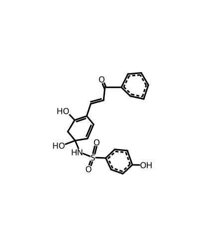 O=C(C=CC1=C(O)CC(O)(NS(=O)(=O)c2ccc(O)cc2)C=C1)c1ccccc1